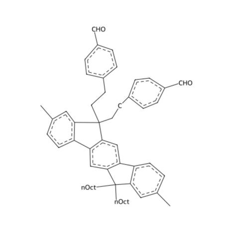 CCCCCCCCC1(CCCCCCCC)c2cc(C)ccc2-c2cc3c(cc21)-c1ccc(C)cc1C3(CCc1ccc(C=O)cc1)CCc1ccc(C=O)cc1